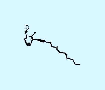 CCCCCCCCCC#Cc1cccc(C=O)c1F